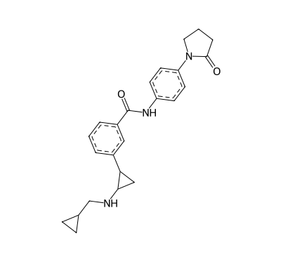 O=C(Nc1ccc(N2CCCC2=O)cc1)c1cccc(C2CC2NCC2CC2)c1